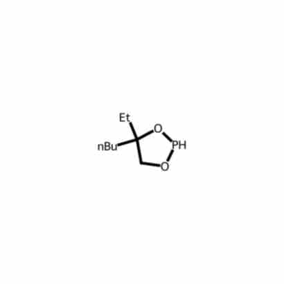 CCCCC1(CC)COPO1